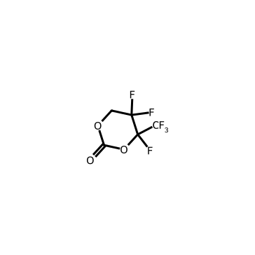 O=C1OCC(F)(F)C(F)(C(F)(F)F)O1